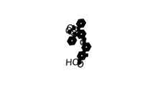 Cc1cc(C(=O)O)ccc1-c1cccc(OCc2ccc(C(OC=O)c3ccccc3)c(C(OC=O)c3ccccc3)c2)c1